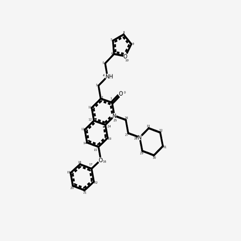 O=c1c(CNCc2ccco2)cc2ccc(Oc3ccccc3)cc2n1CCN1CCCCC1